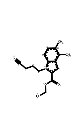 CCOC(=O)c1cc2c(C)c(C)ccc2n1CCCC#N